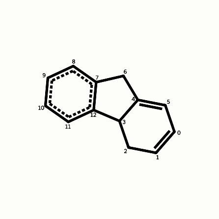 C1=CCC2C(=C1)Cc1ccccc12